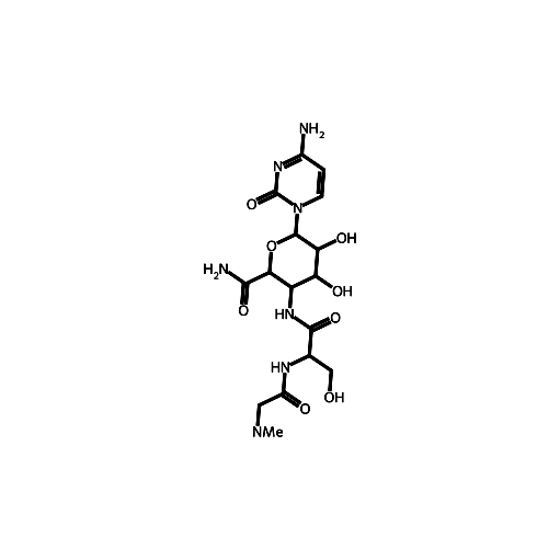 CNCC(=O)NC(CO)C(=O)NC1C(C(N)=O)OC(n2ccc(N)nc2=O)C(O)C1O